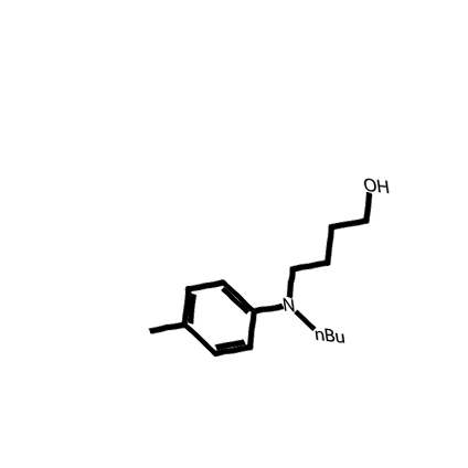 CCCCN(CCCCO)c1ccc(C)cc1